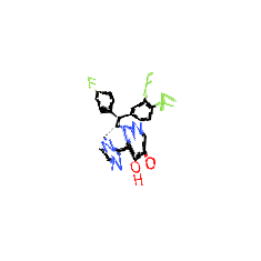 O=c1cnn2c(c1O)-c1nccn1C[C@@H]2[C@@H](c1ccc(F)cc1)c1ccc(F)c(F)c1